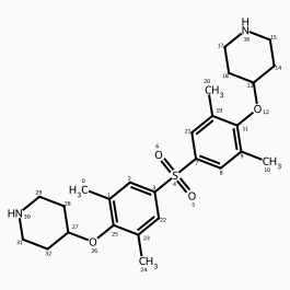 Cc1cc(S(=O)(=O)c2cc(C)c(OC3CCNCC3)c(C)c2)cc(C)c1OC1CCNCC1